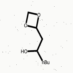 CCCCC(O)CC1OCO1